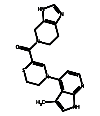 Cc1c[nH]c2nccc(N3C=C(C(=O)N4CCc5nc[nH]c5C4)SCC3)c12